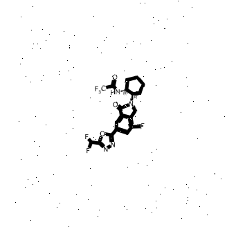 O=C1c2cc(-c3nnc(C(F)F)o3)cc(F)c2CN1[C@@H]1CCCC[C@H]1NC(=O)C(F)(F)F